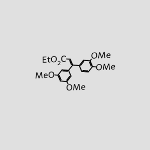 CCOC(=O)/C=C(\c1cc(OC)cc(OC)c1)c1ccc(OC)c(OC)c1